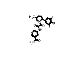 CC1CCC(c2cc(F)c(F)c(F)c2)N(C(=O)C(=O)Nc2cncc(C(N)=O)c2)C1